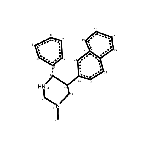 CN1CN[C@H](c2ccccc2)C(c2ccc3ccccc3c2)C1